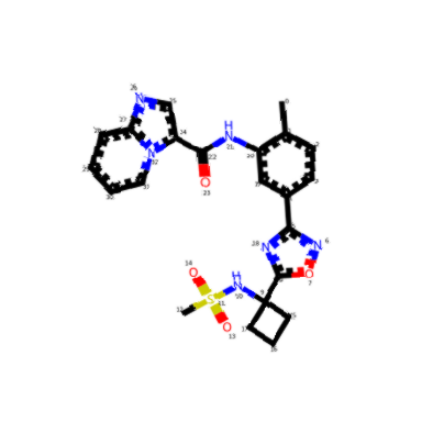 Cc1ccc(-c2noc(C3(NS(C)(=O)=O)CCC3)n2)cc1NC(=O)c1cnc2ccccn12